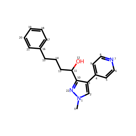 Cn1cc(-c2ccncc2)c(C(O)CCCc2ccccc2)n1